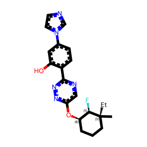 CC[C@@]1(C)CCC[C@@H](Oc2cnc(-c3ccc(-n4ccnc4)cc3O)nn2)[C@H]1F